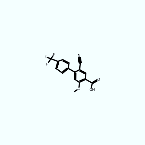 COc1cc(-c2ccc(C(F)(F)F)cc2)c(C#N)cc1C(=O)O